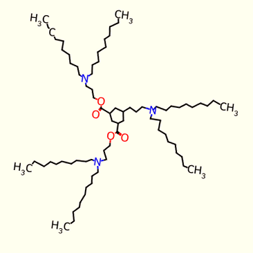 CCCCCCCCCCN(CCCCCCCCCC)CCCOC(=O)C1CC(CCCN(CCCCCCCCCC)CCCCCCCCCC)CC(C(=O)OCCCN(CCCCCCCCCC)CCCCCCCCCC)C1